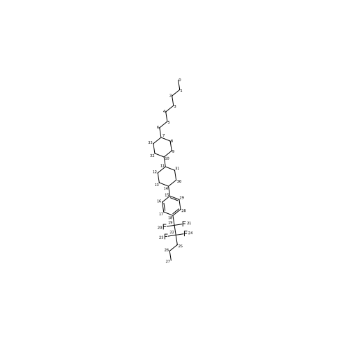 CCCCCCCC1CCC(C2CCC(c3ccc(C(F)(F)C(F)(F)CCC)cc3)CC2)CC1